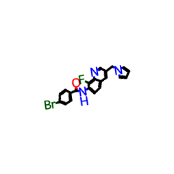 O=C(Nc1ccc2cc(Cn3cccc3)cnc2c1F)c1ccc(Br)cc1